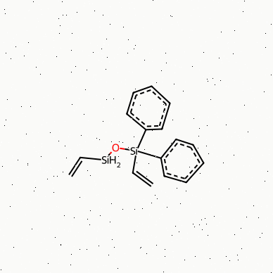 C=C[SiH2]O[Si](C=C)(c1ccccc1)c1ccccc1